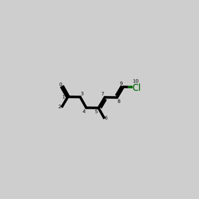 C=C(C)CCC(C)=CC=CCl